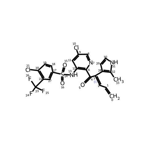 C=C/C=C(/C(=O)c1ncc(Cl)cc1NS(=O)(=O)c1ccc(Cl)c(C(F)(F)F)c1)c1cc[nH]c1C